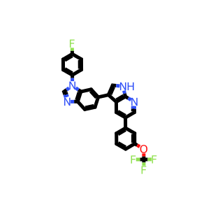 Fc1ccc(-n2cnc3ccc(-c4c[nH]c5ncc(-c6cccc(OC(F)(F)F)c6)cc45)cc32)cc1